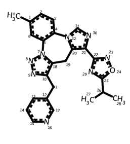 Cc1ccc2c(c1)-n1nnc(Cc3cccnc3)c1Cc1c(-c3noc(C(C)C)n3)ncn1-2